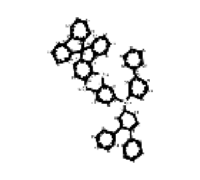 C1=C(c2ccccc2)C(c2ccccc2)=CC(N(c2cccc(-c3ccccc3)c2)c2ccc3c(c2)Oc2c(ccc4c2-c2ccccc2C42c4ccccc4-c4ccccc42)O3)C1